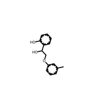 Cc1cccc(OCC(O)c2ccccc2O)c1